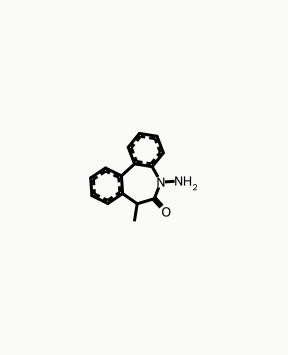 CC1C(=O)N(N)c2ccccc2-c2ccccc21